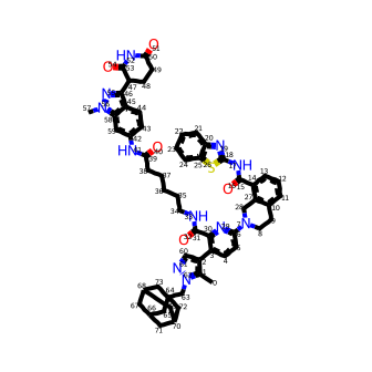 Cc1c(-c2ccc(N3CCc4cccc(C(=O)Nc5nc6ccccc6s5)c4C3)nc2C(=O)NCCCCCC(=O)Nc2ccc3c(C4CCC(=O)NC4=O)nn(C)c3c2)cnn1CC12CC3CC(CC(C3)C1)C2